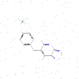 Cc1nc2nonc2c(N)c1Cc1ccc(SC(F)(F)F)cc1